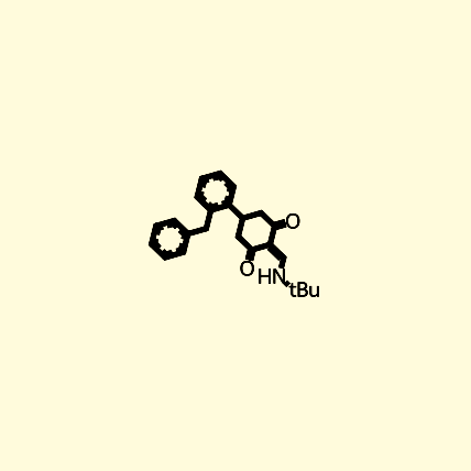 CC(C)(C)NC=C1C(=O)CC(c2ccccc2Cc2ccccc2)CC1=O